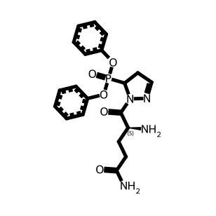 NC(=O)CC[C@H](N)C(=O)N1N=CCC1P(=O)(Oc1ccccc1)Oc1ccccc1